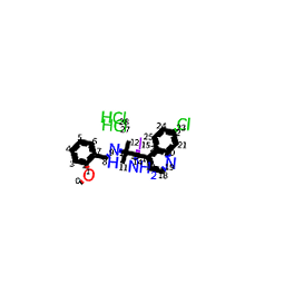 COc1ccccc1CNC(C)(C)C(N)(I)c1ccnc2cc(Cl)ccc12.Cl.Cl